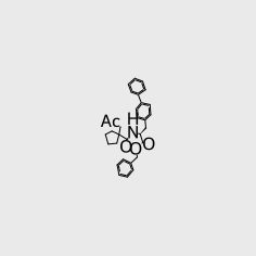 CC(=O)CC1(C(=O)N[C@@H](Cc2ccc(-c3ccccc3)cc2)C(=O)OCc2ccccc2)CCCC1